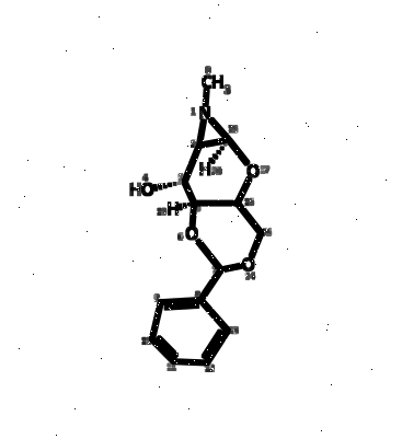 CN1C2[C@@H](O)[C@@H]3OC(c4ccccc4)OCC3O[C@@H]21